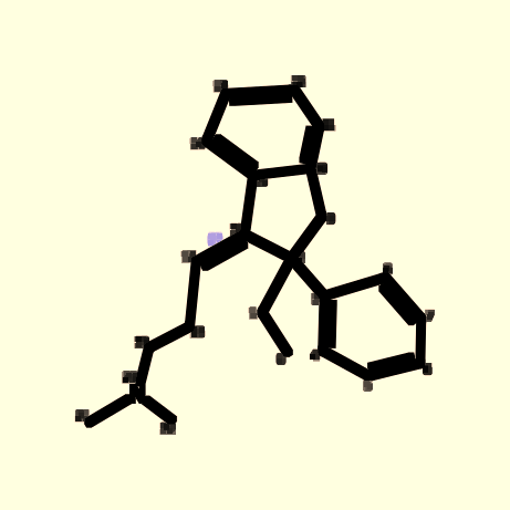 CCC1(c2ccccc2)Cc2ccccc2/C1=C/CCN(C)C